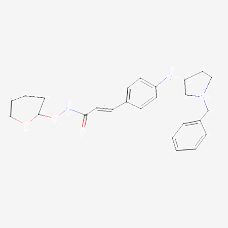 O=C(/C=C/c1ccc(N[C@@H]2CCN(Cc3ccccc3)C2)cc1)NOC1CCCCO1